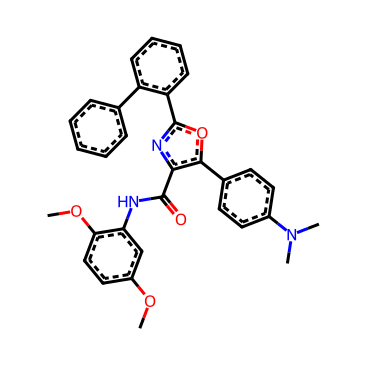 COc1ccc(OC)c(NC(=O)c2nc(-c3ccccc3-c3ccccc3)oc2-c2ccc(N(C)C)cc2)c1